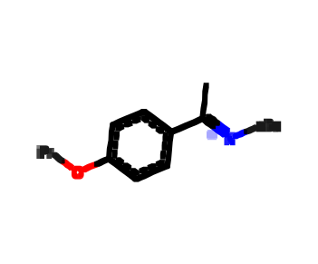 CCCC/N=C(\C)c1ccc(OC(C)C)cc1